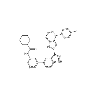 O=C(Nc1cncc(-c2ccc3[nH]nc(-c4cc5c(-c6ccc(F)cc6)nccc5[nH]4)c3c2)c1)C1CCCCC1